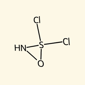 ClS1(Cl)NO1